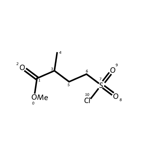 COC(=O)C(C)CCS(=O)(=O)Cl